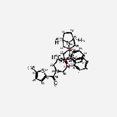 Cc1nc2ccccc2n1C1C[C@H]2CC[C@@H](C1)N2CCC1(c2ccccc2)CCN(C(=O)c2ccc(Cl)s2)CC1